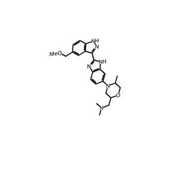 COCc1ccc2[nH]nc(-c3nc4ccc(N5CC(CN(C)C)OCC5C)cc4[nH]3)c2c1